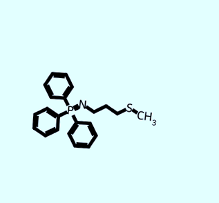 CSCCCN=P(c1ccccc1)(c1ccccc1)c1ccccc1